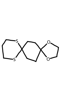 C1CSC2(CCC3(CC2)OCCO3)SC1